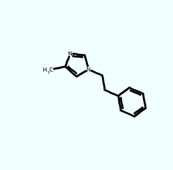 Cc1cn(CCc2ccccc2)cn1